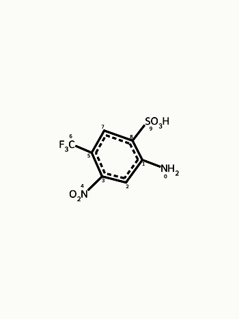 Nc1cc([N+](=O)[O-])c(C(F)(F)F)cc1S(=O)(=O)O